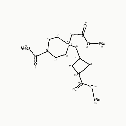 COC(=O)C1CC[N+](CC(=O)OC(C)(C)C)(CC2CN(C(=O)OC(C)(C)C)C2)CC1